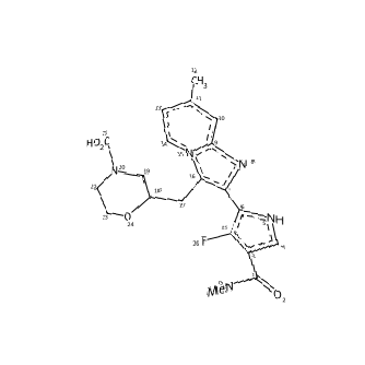 CNC(=O)c1c[nH]c(-c2nc3cc(C)ccn3c2CC2CN(C(=O)O)CCO2)c1F